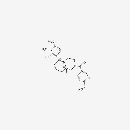 COc1ccc([C@H]2CCC[C@H]3CN(C(=O)c4ccc(CO)nc4)CCN32)c(C)c1C